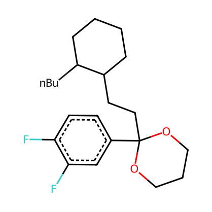 CCCCC1CCCCC1CCC1(c2ccc(F)c(F)c2)OCCCO1